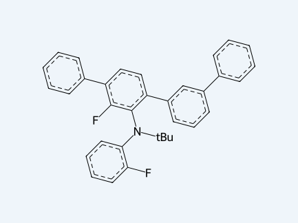 CC(C)(C)N(c1ccccc1F)c1c(-c2cccc(-c3ccccc3)c2)ccc(-c2ccccc2)c1F